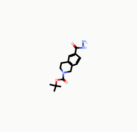 CC(C)(C)OC(=O)N1CCc2cc(C(=O)NN)ccc2C1